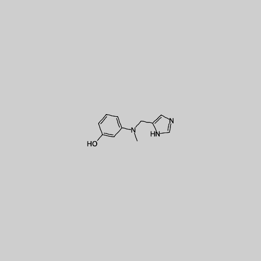 CN(Cc1cnc[nH]1)c1cccc(O)c1